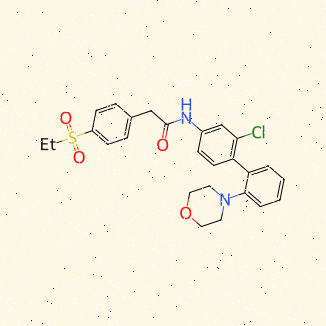 CCS(=O)(=O)c1ccc(CC(=O)Nc2ccc(-c3ccccc3N3CCOCC3)c(Cl)c2)cc1